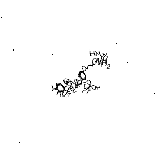 N=C(N)NOCCCOc1ccc(C[C@H](NS(=O)(=O)c2ccc(I)cc2)C(=O)O)cc1.O=C(O)C(F)(F)F